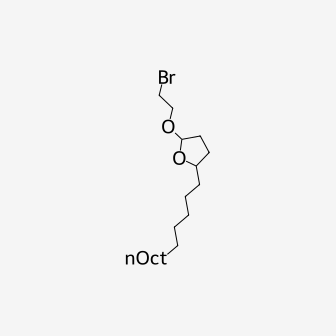 CCCCCCCCCCCCCC1CCC(OCCBr)O1